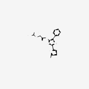 CC(C)NCC(=O)Nc1nc(-c2ccc(F)s2)[nH]c1-c1ccccc1